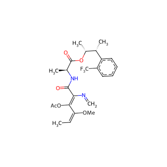 C=N/C(C(=O)N[C@@H](C)C(=O)O[C@H](C)[C@H](C)c1ccccc1C(F)(F)F)=C(OC(C)=O)\C(=C/C)OC